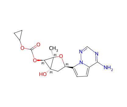 C[C@]12O[C@@H](c3ccc4c(N)ncnn34)C[C@@]1(O)[C@H]2OC(=O)OC1CC1